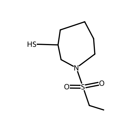 CCS(=O)(=O)N1CCCCC(S)C1